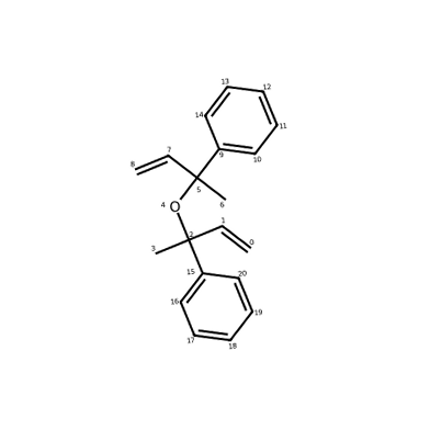 C=CC(C)(OC(C)(C=C)c1ccccc1)c1ccccc1